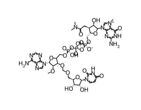 CO[C@@H]1[C@H](OCOC[C@H]2O[C@@H](n3ccc(=O)[nH]c3=O)[C@H](O)[C@@H]2O)C(COP(=O)(O)OP(=O)(O)OP(=O)([O-])OC[C@H]2OC(n3c[n+](C)c4c(=O)[nH]c(N)nc43)[C@H](O)[C@@H]2CC(=O)N(C)C)O[C@H]1n1cnc2c(N)ncnc21